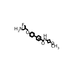 COC1CC(NC(=O)C23CCC(c4ccc(OC/C(=C/F)CN)cc4)(CC2)CC3)C1